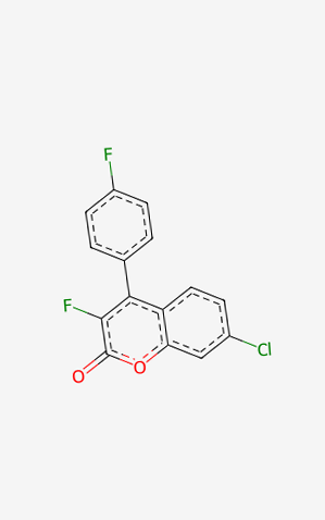 O=c1oc2cc(Cl)ccc2c(-c2ccc(F)cc2)c1F